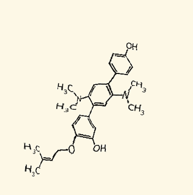 CC(C)=CCOc1ccc(-c2cc(N(C)C)c(-c3ccc(O)cc3)cc2N(C)C)cc1O